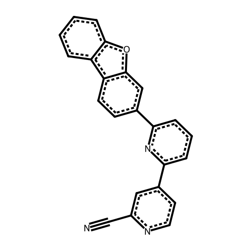 N#Cc1cc(-c2cccc(-c3ccc4c(c3)oc3ccccc34)n2)ccn1